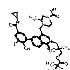 Cc1c(F)cc(C(=O)NC2CC2)cc1-c1ccc2c(=O)n(CC(C)(C)COC(=O)C(C)(C)C)cc(CN3CCN(C(=O)O)CC3C)c2c1